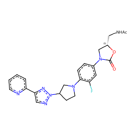 CC(=O)NC[C@H]1CN(c2ccc(N3CCC(n4ncc(-c5ccccn5)n4)C3)c(F)c2)C(=O)O1